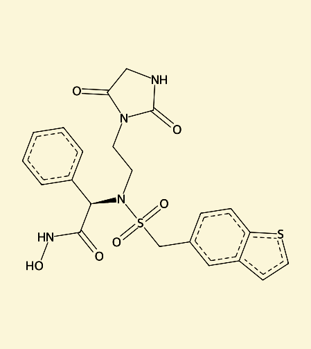 O=C(NO)[C@@H](c1ccccc1)N(CCN1C(=O)CNC1=O)S(=O)(=O)Cc1ccc2sccc2c1